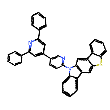 c1ccc(-c2cc(-c3ccc(-n4c5ccccc5c5cc6sc7ccccc7c6cc54)nc3)cc(-c3ccccc3)n2)cc1